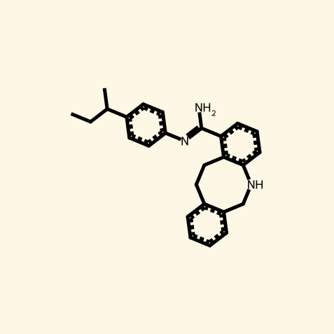 CCC(C)c1ccc(N=C(N)c2cccc3c2CCc2ccccc2CN3)cc1